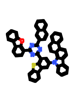 c1ccc2cc(-c3nc(-c4cccc5c4oc4ccccc45)nc(-c4cc(-n5c6ccccc6c6ccc7c8ccccc8ccc7c65)cc5c4sc4ccccc45)n3)ccc2c1